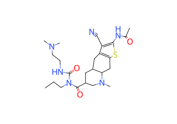 CCCN(C(=O)NCCN(C)C)C(=O)C1CC2Cc3c(sc(NC(C)=O)c3C#N)CC2N(C)C1